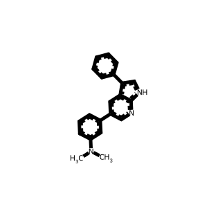 CN(C)c1cccc(-c2cnc3[nH]cc(-c4ccccc4)c3c2)c1